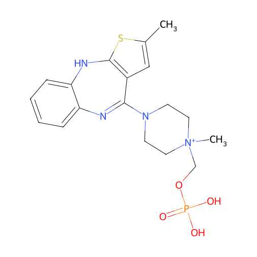 Cc1cc2c(s1)Nc1ccccc1N=C2N1CC[N+](C)(COP(=O)(O)O)CC1